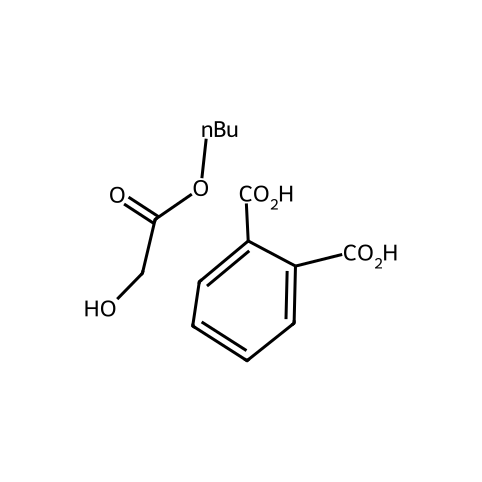 CCCCOC(=O)CO.O=C(O)c1ccccc1C(=O)O